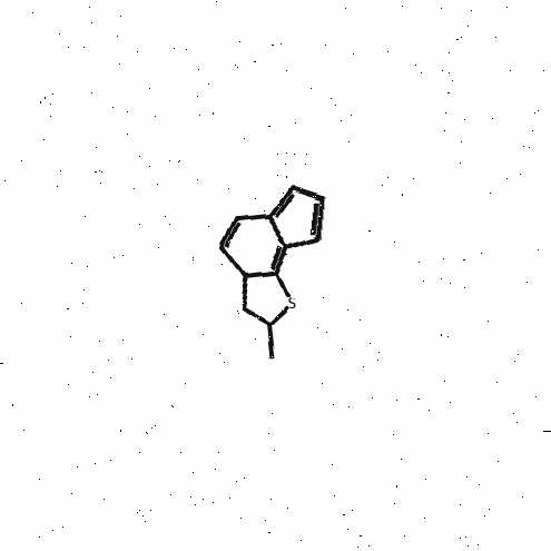 CC1CC2C=CC3=CC=CC3=C2S1